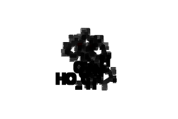 O=C(O)[C@@H]1[C@H]2CCC[C@@H](CN1C(=O)C(c1ccccc1)c1ccccc1)N2C(=O)CCc1ccccc1